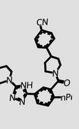 CCCc1ccc(-c2nnc(N3CCOCC3)[nH]2)cc1C(=O)N1CCC(c2ccc(C#N)cc2)CC1